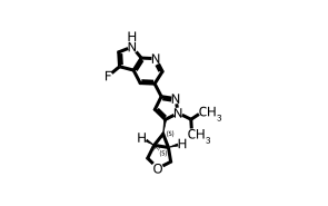 CC(C)n1nc(-c2cnc3[nH]cc(F)c3c2)cc1[C@H]1[C@@H]2COC[C@@H]21